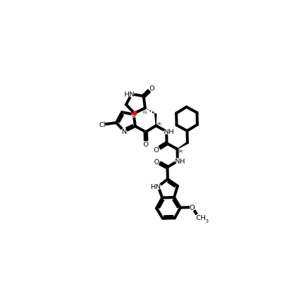 COc1cccc2[nH]c(C(=O)N[C@H](CC3CCCCC3)C(=O)N[C@H](C[C@@H]3CCNC3=O)C(=O)c3nc(Cl)cs3)cc12